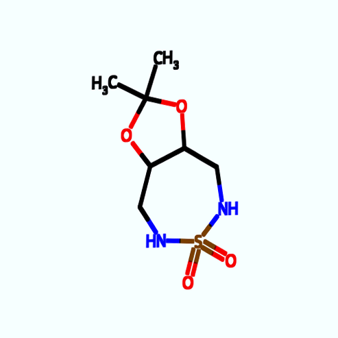 CC1(C)OC2CNS(=O)(=O)NCC2O1